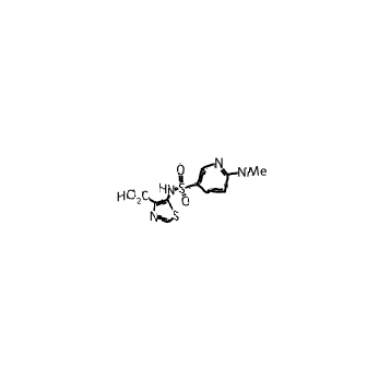 CNc1ccc(S(=O)(=O)Nc2scnc2C(=O)O)cn1